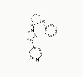 Cc1cc(-c2ccn([C@H]3CCC[C@@H]3c3ccccc3)n2)ccn1